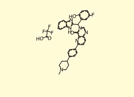 CN1CCC(c2ccc(-c3ccc4ncn(C(c5nc6ccccc6[nH]5)c5cc(F)ccc5O)c(=O)c4n3)cc2)CC1.O=C(O)C(F)(F)F